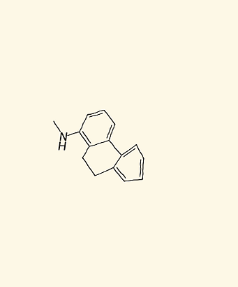 CNc1cccc2c1CCc1ccccc1-2